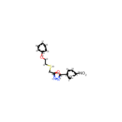 O=[N+]([O-])c1ccc(-c2nnc(CSCCOc3ccccc3)o2)cc1